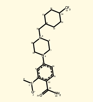 C[S+]([O-])c1cc(N2CCN(CC3CCC(C(F)(F)F)CC3)CC2)ccc1C(N)=O